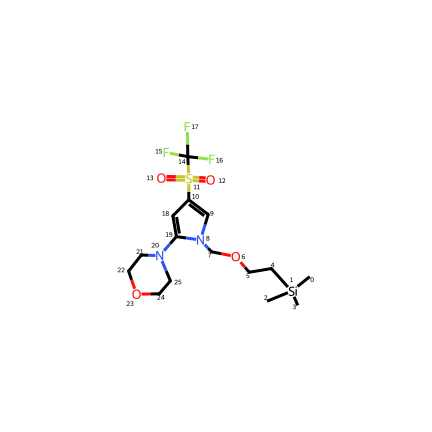 C[Si](C)(C)CCOCn1cc(S(=O)(=O)C(F)(F)F)cc1N1CCOCC1